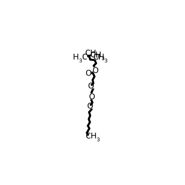 CCCCCCCCCOCCOCCOCCCC(=O)OCCC(C)CC(C)(C)C